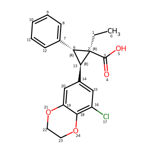 CC[C@@]1(C(=O)O)[C@@H](c2ccccc2)[C@@H]1c1cc(Cl)c2c(c1)OCCO2